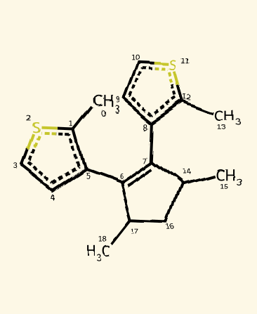 Cc1sccc1C1=C(c2ccsc2C)C(C)CC1C